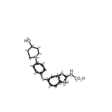 O=C(O)Nc1nc2cc(Sc3ccc(N4CCC(O)CC4)cc3)ccc2[nH]1